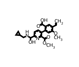 C=Cc1cc(C(=O)O)c(-c2ccc(C(O)NCC3CC3)nc2C(=O)OC)cc1OC